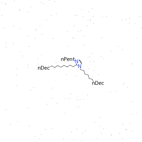 CCCCCCCCCCCCCCCCCCc1n(CCCCCCCCCCCCCCCC)cc[n+]1CCCCC